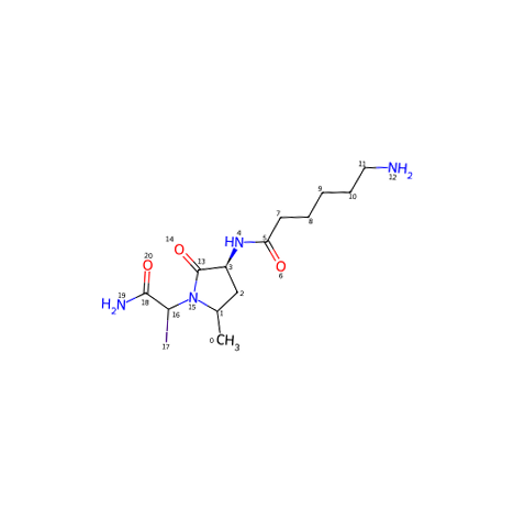 CC1C[C@H](NC(=O)CCCCCN)C(=O)N1C(I)C(N)=O